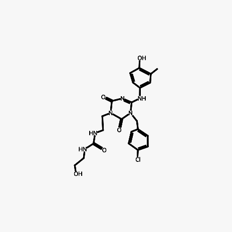 Cc1cc(Nc2nc(=O)n(CCNC(=O)NCCO)c(=O)n2Cc2ccc(Cl)cc2)ccc1O